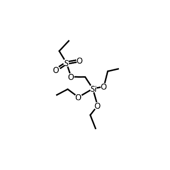 CCO[Si](COS(=O)(=O)CC)(OCC)OCC